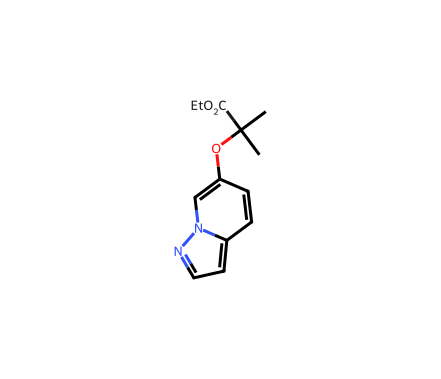 CCOC(=O)C(C)(C)Oc1ccc2ccnn2c1